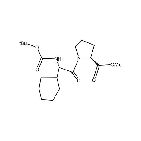 COC(=O)[C@@H]1CCCN1C(=O)[C@@H](NC(=O)OC(C)(C)C)C1CCCCC1